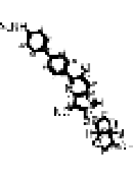 CC(=O)NC1CC=C(c2ccc(-c3nc4c(C#N)c(O[C@@H]5CO[C@H]6[C@@H]5OC[C@H]6O)[nH]c4cc3Cl)cc2)CC1